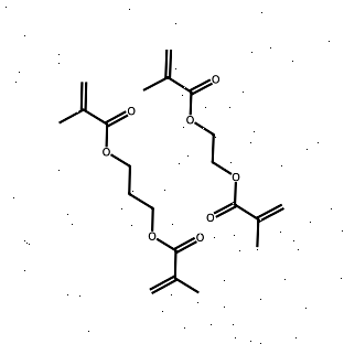 C=C(C)C(=O)OCCCOC(=O)C(=C)C.C=C(C)C(=O)OCCOC(=O)C(=C)C